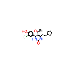 CCC(=O)C1=C(CCC2CCCC2)NC(=O)NC1c1ccc(O)c(Cl)c1